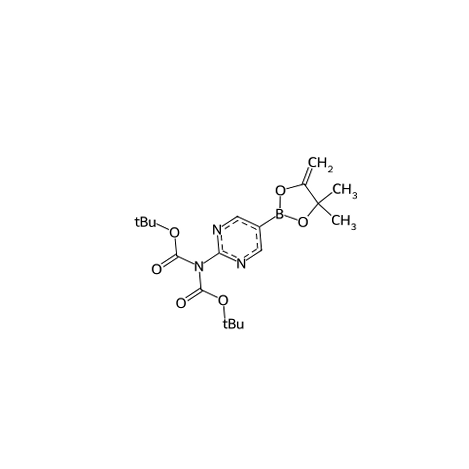 C=C1OB(c2cnc(N(C(=O)OC(C)(C)C)C(=O)OC(C)(C)C)nc2)OC1(C)C